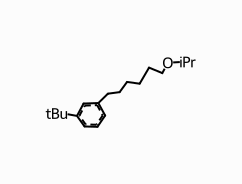 CC(C)OCCCCCCc1cccc(C(C)(C)C)c1